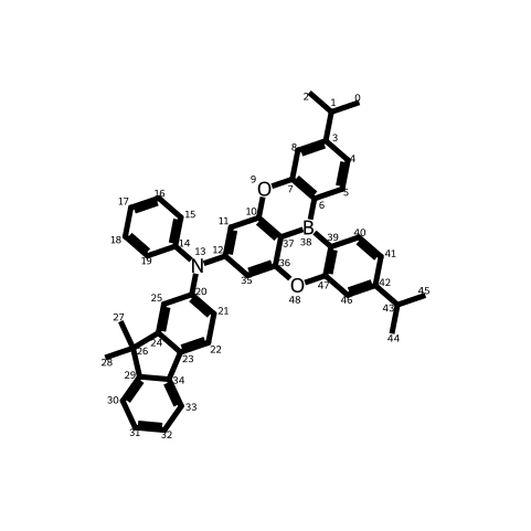 CC(C)c1ccc2c(c1)Oc1cc(N(c3ccccc3)c3ccc4c(c3)C(C)(C)c3ccccc3-4)cc3c1B2c1ccc(C(C)C)cc1O3